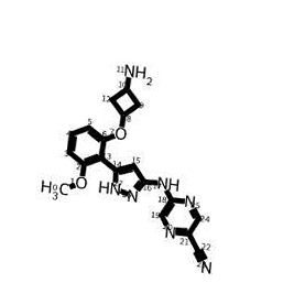 COc1cccc(OC2CC(N)C2)c1-c1cc(Nc2cnc(C#N)cn2)n[nH]1